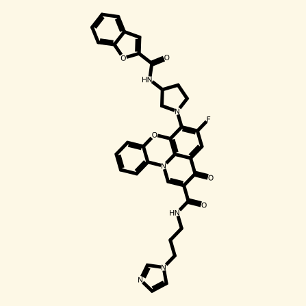 O=C(NC1CCN(c2c(F)cc3c(=O)c(C(=O)NCCCn4ccnc4)cn4c3c2Oc2ccccc2-4)C1)c1cc2ccccc2o1